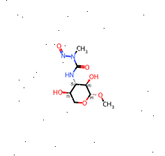 CO[C@@H]1OC[C@@H](O)[C@H](NC(=O)N(C)N=O)[C@H]1O